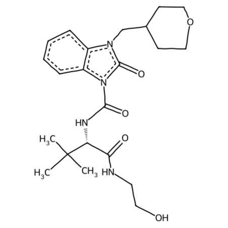 CC(C)(C)[C@H](NC(=O)n1c(=O)n(CC2CCOCC2)c2ccccc21)C(=O)NCCO